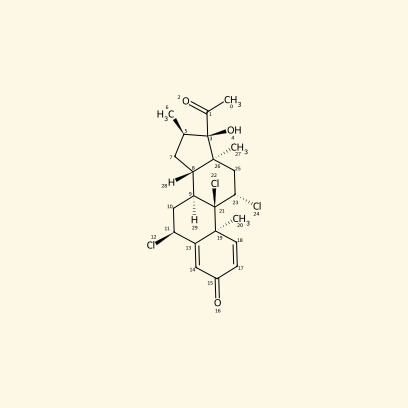 CC(=O)[C@@]1(O)[C@H](C)C[C@H]2[C@@H]3C[C@H](Cl)C4=CC(=O)C=C[C@]4(C)[C@@]3(Cl)[C@@H](Cl)C[C@@]21C